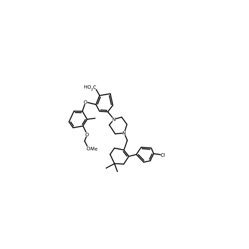 COCOc1cccc(Oc2cc(N3CCN(CC4=C(c5ccc(Cl)cc5)CC(C)(C)CC4)CC3)ccc2C(=O)O)c1C